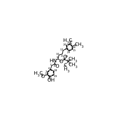 COc1cc(CC(=O)NC(CCCc2ccc(C)c(C)c2)OC(=O)C(C)(C)C)ccc1O